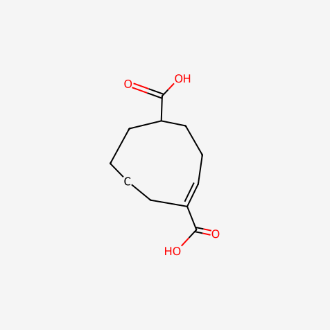 O=C(O)C1=CCCC(C(=O)O)CCCC1